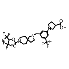 O=C(O)C1CCN(c2cc(CN3CCC4(CCN(C(=O)OC(C(F)(F)F)C(F)(F)F)CC4)C3)cc(C(F)(F)F)c2)C1